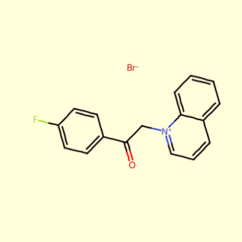 O=C(C[n+]1cccc2ccccc21)c1ccc(F)cc1.[Br-]